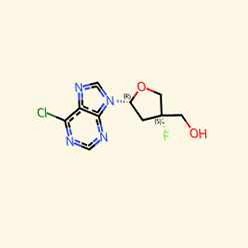 OC[C@]1(F)CO[C@@H](n2cnc3c(Cl)ncnc32)C1